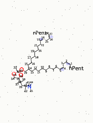 CCCCC/C=C\C/C=C\CCCCCCCCC(CCCCCCCC/C=C\C/C=C\CCCCC)COC1(C)OCC(C(C)(C)CC(C)(C)N(C)C)O1